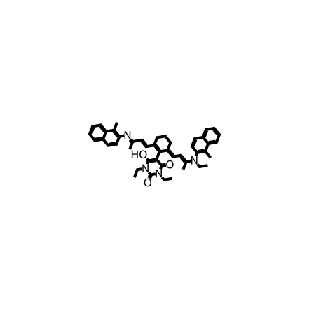 CCN(/C(C)=C/C=C1\CCCC(/C=C/C(C)=N/c2ccc3ccccc3c2C)=C1c1c(O)n(CC)c(=O)n(CC)c1=O)c1ccc2ccccc2c1C